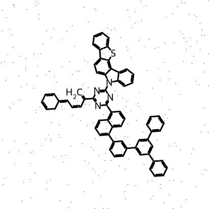 C=C(/C=C\C=C1\C=CC=CC1)c1nc(-c2cccc3c(-c4cccc(-c5cc(-c6ccccc6)cc(-c6ccccc6)c5)c4)cccc23)nc(-n2c3ccccc3c3c4sc5ccccc5c4ccc32)n1